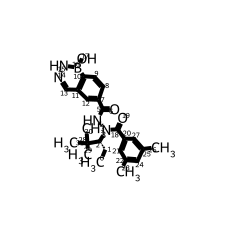 CC[C@@H](N(NC(=O)c1ccc2c(c1)C=NNB2O)C(=O)c1cc(C)cc(C)c1)C(C)(C)C